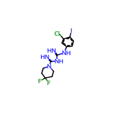 N=C(NC(=N)N1CCC(F)(F)CC1)Nc1ccc(I)c(Cl)c1